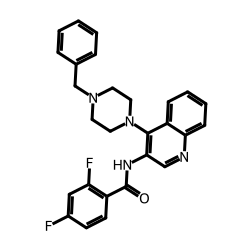 O=C(Nc1cnc2ccccc2c1N1CCN(Cc2ccccc2)CC1)c1ccc(F)cc1F